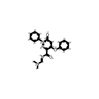 CN(C)C=NC(=O)c1nn(-c2ccccc2)c(=O)cc1Oc1ccccc1